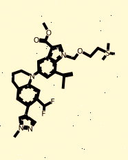 C=C(C)c1cc(N2CCCc3cc(-c4cnn(C)c4)c(C(F)F)cc32)cc2c(C(=O)OC)cn(COCCS(C)(C)C)c12